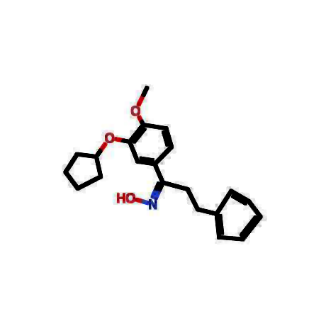 COc1ccc(/C(CCc2ccccc2)=N\O)cc1OC1CCCC1